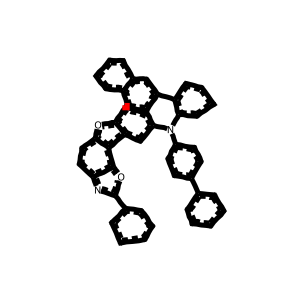 c1ccc(-c2ccc(N(c3ccc4oc5ccc6nc(-c7ccccc7)oc6c5c4c3)c3ccccc3-c3ccc4ccccc4c3)cc2)cc1